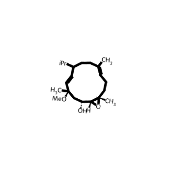 CO[C@@]1(C)/C=C/C(C(C)C)CC/C(C)=C/CC[C@]2(C)O[C@@H]2[C@H](O)C1